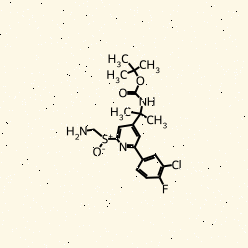 CC(C)(C)OC(=O)NC(C)(C)c1cc(-c2ccc(F)c(Cl)c2)nc([S+]([O-])CN)c1